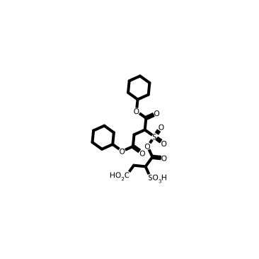 O=C(O)CC(C(=O)OS(=O)(=O)C(CC(=O)OC1CCCCC1)C(=O)OC1CCCCC1)S(=O)(=O)O